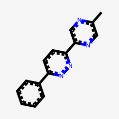 Cc1cnc(-c2ccc(-c3ccccc3)nn2)cn1